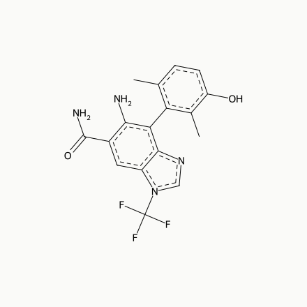 Cc1ccc(O)c(C)c1-c1c(N)c(C(N)=O)cc2c1ncn2C(F)(F)F